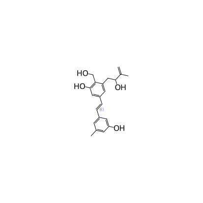 C=C(C)C(O)Cc1cc(/C=C/c2cc(C)cc(O)c2)cc(O)c1CO